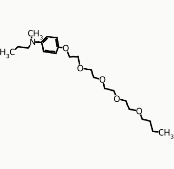 CCCCOCCOCCOCCOCCOc1ccc(N(C)CCC)cc1